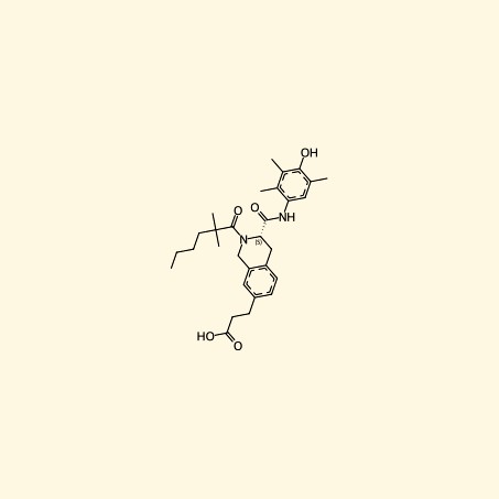 CCCCC(C)(C)C(=O)N1Cc2cc(CCC(=O)O)ccc2C[C@H]1C(=O)Nc1cc(C)c(O)c(C)c1C